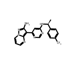 C[C@H](Nc1cc(-c2c(N)nn3cccnc23)ncn1)c1ccc(C(F)(F)F)cc1